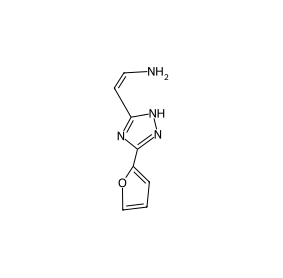 N/C=C\c1nc(-c2ccco2)n[nH]1